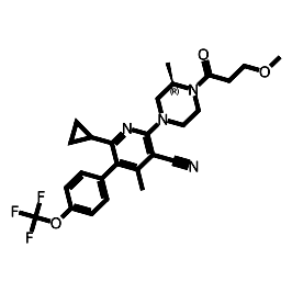 COCCC(=O)N1CCN(c2nc(C3CC3)c(-c3ccc(OC(F)(F)F)cc3)c(C)c2C#N)C[C@H]1C